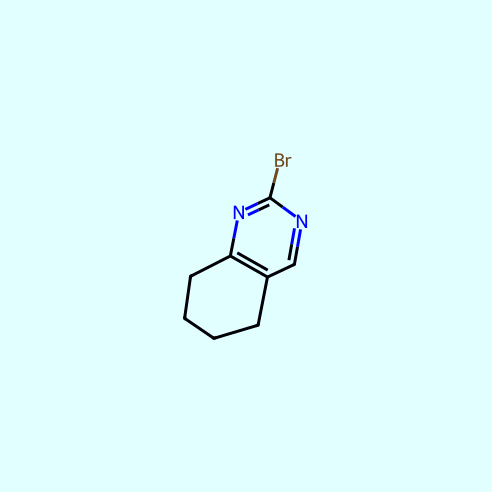 Brc1ncc2c(n1)CCCC2